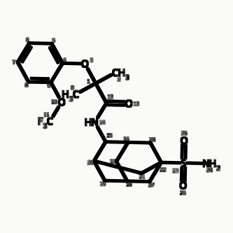 CC(C)(Oc1ccccc1OC(F)(F)F)C(=O)NC1C2CC3CC1CC(S(N)(=O)=O)(C3)C2